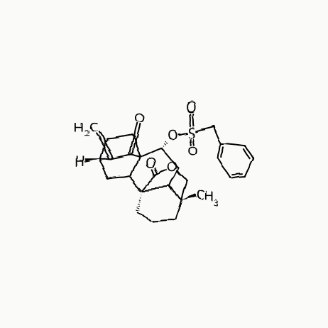 C=C1C(=O)C23CC[C@H]1CC2[C@@]12CCC[C@@](C)(COC1=O)C2C[C@H]3OS(=O)(=O)Cc1ccccc1